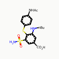 CCCCNc1cc(C(=O)O)cc(S(N)(=O)=O)c1Sc1ccc(NC(C)=O)cc1